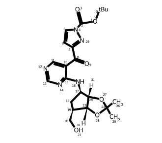 CC(C)(C)OC(=O)n1ccc(C(=O)c2cncnc2N[C@@H]2C[C@H](CO)[C@H]3OC(C)(C)O[C@H]32)n1